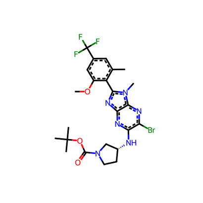 COc1cc(C(F)(F)F)cc(C)c1-c1nc2nc(N[C@@H]3CCN(C(=O)OC(C)(C)C)C3)c(Br)nc2n1C